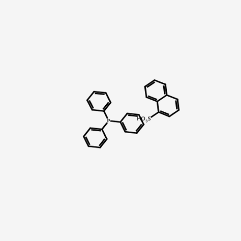 O=S(=O)(O)c1cccc2ccccc12.c1ccc(P(c2ccccc2)c2ccccc2)cc1